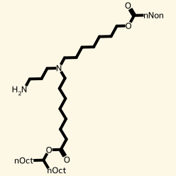 CCCCCCCCCC(=O)OCCCCCCCN(CCCN)CCCCCCCC(=O)OC(CCCCCCCC)CCCCCCCC